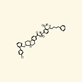 O=C(NS(=O)(=O)c1ccc(NCCCCc2ccccc2)c([N+](=O)[O-])c1)c1ccc2c(c1)CC[C@H]1CN(Cc3ccccc3-c3ccc(Cl)cc3)CCN21